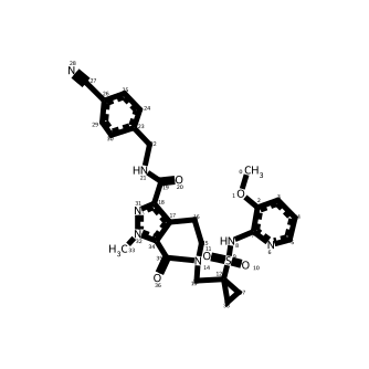 COc1cccnc1NS(=O)(=O)C1(CN2CCc3c(C(=O)NCc4ccc(C#N)cc4)nn(C)c3C2=O)CC1